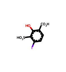 O=C(O)c1ccc(I)c(S(=O)(=O)O)c1O